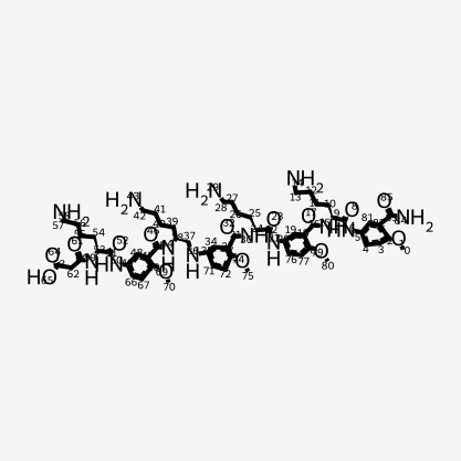 COc1ccc(NC(=O)[C@H](CCCCN)NC(=O)c2cc(NC(=O)[C@H](CCCCN)NC(=O)c3cc(NC[C@H](CCCCN)NC(=O)c4cc(NC(=O)[C@H](CCCCN)NC(=O)CC(=O)O)ccc4OC)ccc3OC)ccc2OC)cc1C(N)=O